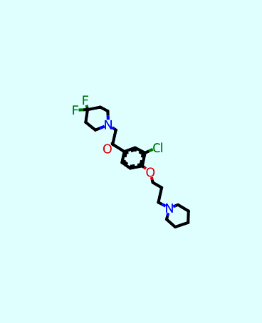 O=C(CN1CCC(F)(F)CC1)c1ccc(OCCCN2CCCCC2)c(Cl)c1